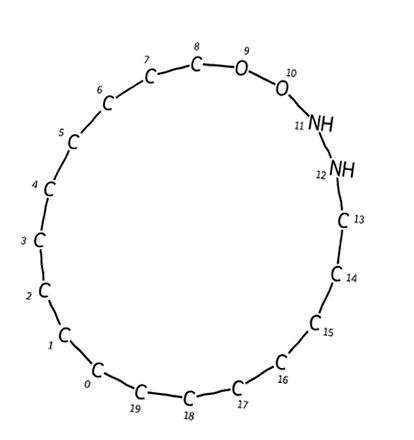 C1CCCCCCCCOONNCCCCCCC1